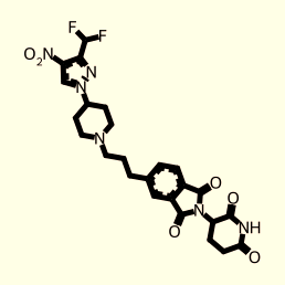 O=C1CCC(N2C(=O)c3ccc(CCCN4CCC(n5cc([N+](=O)[O-])c(C(F)F)n5)CC4)cc3C2=O)C(=O)N1